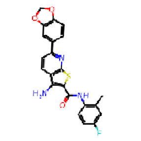 Cc1cc(F)ccc1NC(=O)c1sc2nc(-c3ccc4c(c3)OCO4)ccc2c1N